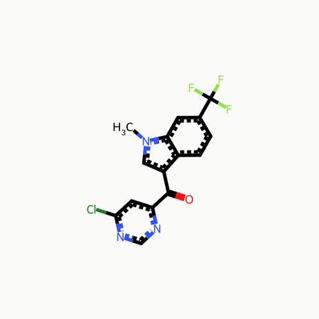 Cn1cc(C(=O)c2cc(Cl)ncn2)c2ccc(C(F)(F)F)cc21